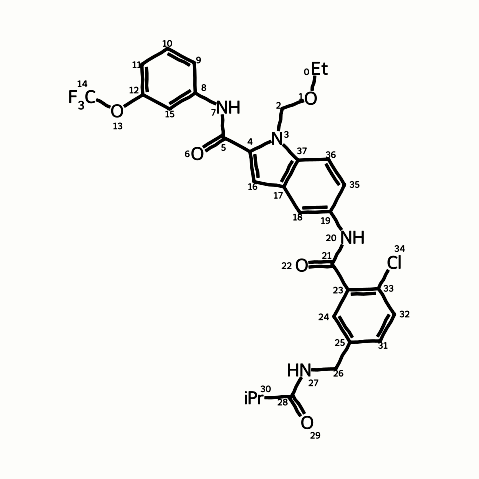 CCOCn1c(C(=O)Nc2cccc(OC(F)(F)F)c2)cc2cc(NC(=O)c3cc(CNC(=O)C(C)C)ccc3Cl)ccc21